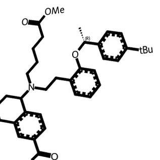 COC(=O)CCCCN(CCc1ccccc1O[C@H](C)c1ccc(C(C)(C)C)cc1)C1CCCc2cc(C(=O)OC)ccc21